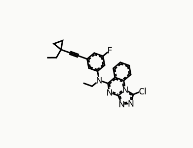 CCN(c1cc(F)cc(C#CC2(CC)CC2)c1)c1nc2nnc(Cl)n2c2ccccc12